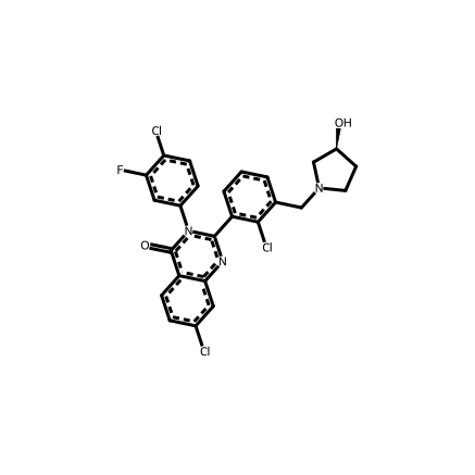 O=c1c2ccc(Cl)cc2nc(-c2cccc(CN3CC[C@H](O)C3)c2Cl)n1-c1ccc(Cl)c(F)c1